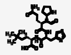 CC(C)(C)CC[C@H](NC(=O)[C@H](Cc1cscn1)NC(=O)[C@H](CCC(N)=O)N(C=O)[C@H]1CCCN1)C(=O)O